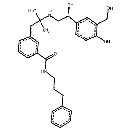 CC(C)(Cc1cccc(C(=O)NCCCc2ccccc2)c1)NC[C@@H](O)c1ccc(O)c(CO)c1